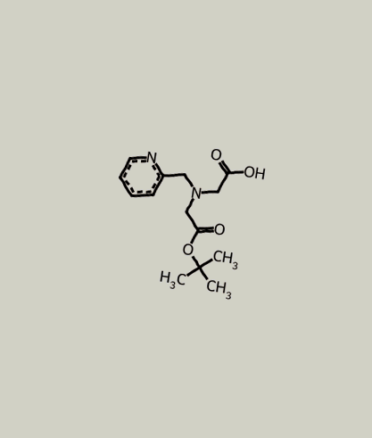 CC(C)(C)OC(=O)CN(CC(=O)O)Cc1ccccn1